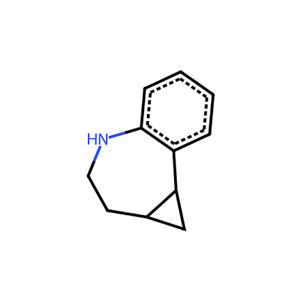 c1ccc2c(c1)NCCC1CC21